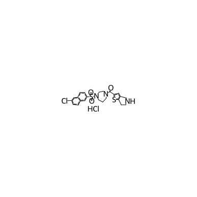 Cl.O=C(c1cc2c(s1)CCNC2)N1CCCN(S(=O)(=O)c2ccc3cc(Cl)ccc3c2)CC1